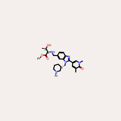 CC(=O)N1CCC[C@H](Cn2c(-c3cc(C)c(=O)n(C)c3)nc3ccc(CN[C@@H](C(=O)OC(C)C)[C@@H](C)O)cc32)C1